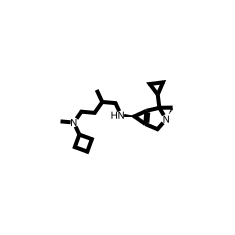 CC(CCN(C)C1CCC1)CN[C@@H]1C2=C1C1(C3CC3)C[N@]1C2